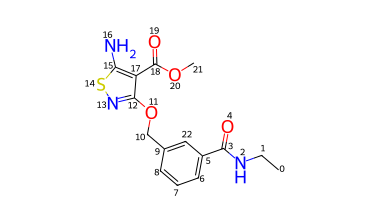 CCNC(=O)c1cccc(COc2nsc(N)c2C(=O)OC)c1